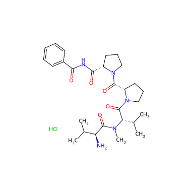 CC(C)[C@H](N)C(=O)N(C)[C@H](C(=O)N1CCC[C@H]1C(=O)N1CCC[C@H]1C(=O)NC(=O)c1ccccc1)C(C)C.Cl